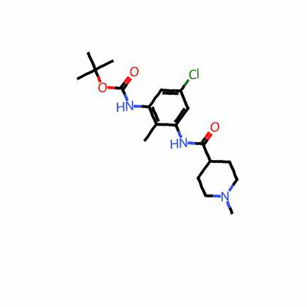 Cc1c(NC(=O)OC(C)(C)C)cc(Cl)cc1NC(=O)C1CCN(C)CC1